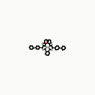 c1ccc(-c2ccc(-c3nc(-c4ccccc4-c4nc(-c5ccc(-c6ccccc6)cc5)c5sc6ccccc6c5n4)nc4c3sc3ccccc34)cc2)cc1